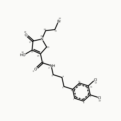 O=C(NCCCc1ccc(Cl)c(Cl)c1)C1=C(O)C(=O)N(CCBr)C1